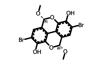 CO[C@@H]1Oc2c(O)c(Br)cc3c2-c2c1cc(Br)c(O)c2O[C@H]3OC